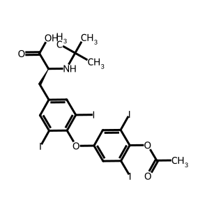 CC(=O)Oc1c(I)cc(Oc2c(I)cc(C[C@H](NC(C)(C)C)C(=O)O)cc2I)cc1I